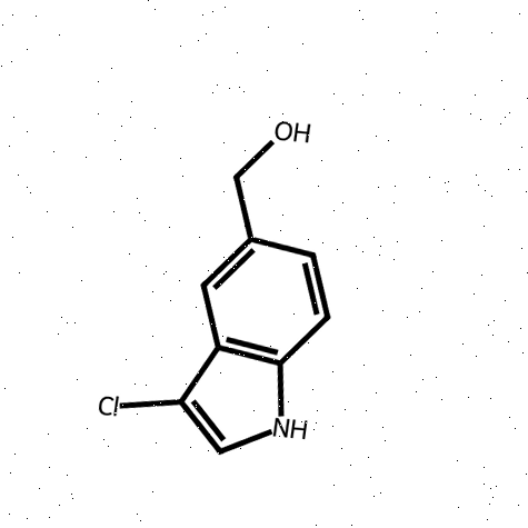 OCc1ccc2[nH]cc(Cl)c2c1